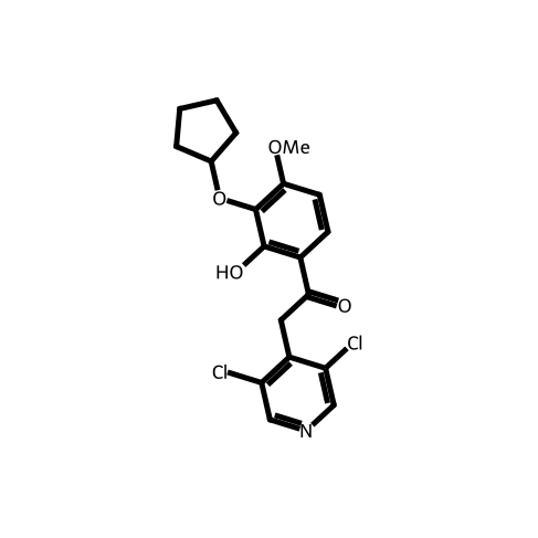 COc1ccc(C(=O)Cc2c(Cl)cncc2Cl)c(O)c1OC1CCCC1